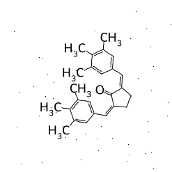 Cc1cc(C=C2CCC(=Cc3cc(C)c(C)c(C)c3)C2=O)cc(C)c1C